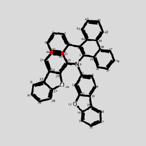 c1ccc(-c2c(N(c3ccc4c(c3)oc3ccccc34)c3cccc4c3oc3ccccc34)c3ccccc3c3ccccc23)cc1